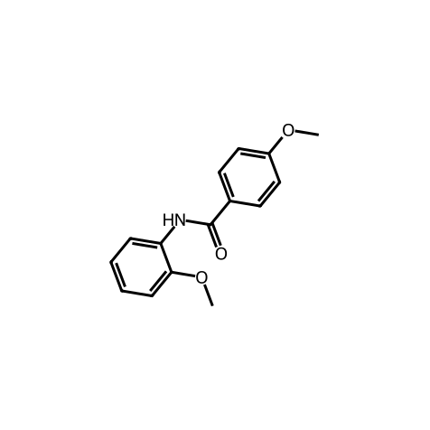 COc1ccc(C(=O)Nc2ccccc2OC)cc1